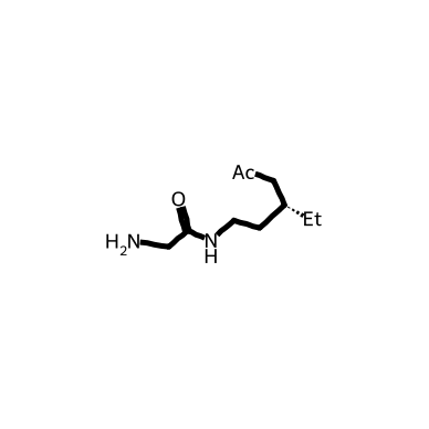 CC[C@H](CCNC(=O)CN)CC(C)=O